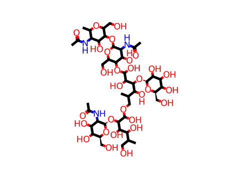 CC(=O)NC1C(C)OC(CO)C(OC2OC(CO)C(OC(O)C(O)C(O[C@H]3O[C@H](CO)C(O)C(O)C3O)C(O)C(C)COC(O)C(O[C@@H]3O[C@@H](CO)C(O)C(O)C3NC(C)=O)C(O)C(O)C(C)CO)C(O)C2NC(C)=O)C1O